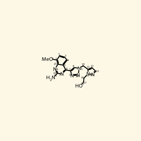 COc1cccc2c(-c3cn(Cc4ccnn4CCO)nn3)nc(N)nc12